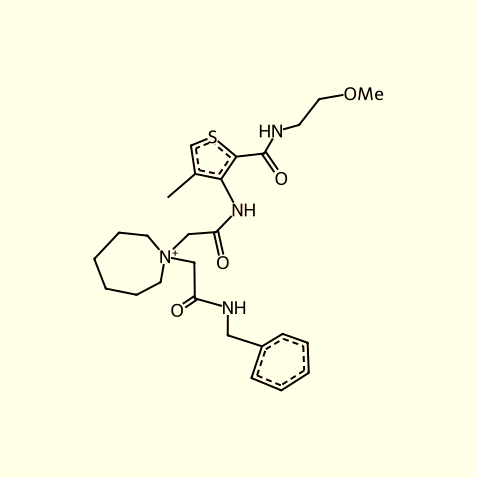 COCCNC(=O)c1scc(C)c1NC(=O)C[N+]1(CC(=O)NCc2ccccc2)CCCCCC1